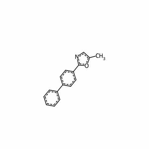 Cc1cnc(-c2ccc(-c3ccccc3)cc2)o1